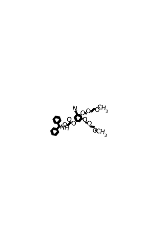 COCCOCOc1cc(OC(=O)CONC(c2ccccc2)c2ccccc2)cc(C#N)c1OCOCCOC